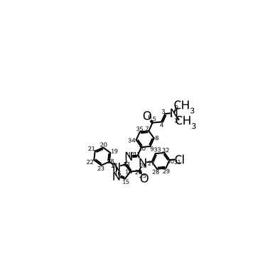 CN(C)C=CC(=O)c1ccc(-c2nc3c(cnn3-c3ccccc3)c(=O)n2-c2ccc(Cl)cc2)cc1